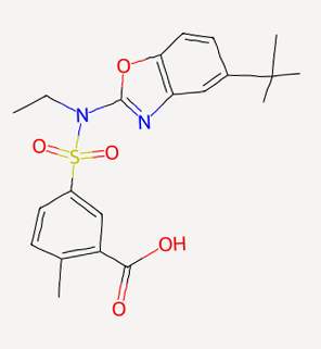 CCN(c1nc2cc(C(C)(C)C)ccc2o1)S(=O)(=O)c1ccc(C)c(C(=O)O)c1